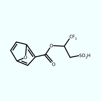 O=C(OC(CS(=O)(=O)O)C(F)(F)F)c1cc2ccc1o2